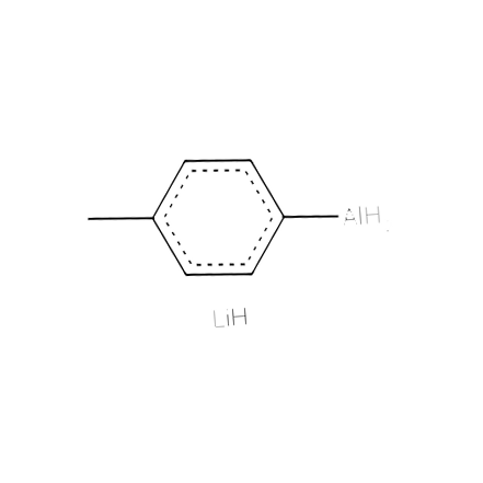 Cc1cc[c]([AlH2])cc1.[LiH]